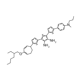 CCCCC(CC)COC1=CCCC(c2ccc(-c3sc(-c4ccc(-c5ccc(N(C)CCC)cc5)s4)c(N)c3N)s2)C=C1